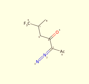 CC(=O)C(=[N+]=[N-])C(=O)CC(C)C(F)(F)F